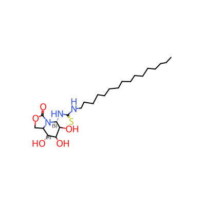 CCCCCCCCCCCCCCCCNC(=S)N[C@@H]1C(O)C(O)[C@H](O)C2COC(=O)N21